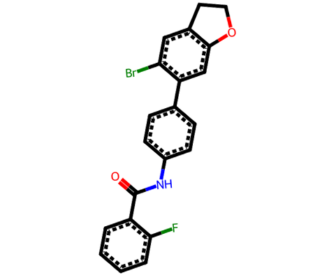 O=C(Nc1ccc(-c2cc3c(cc2Br)CCO3)cc1)c1ccccc1F